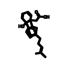 CC(C)=CCCN1CCC(C2(CC(=O)O)C=CC=CC2(O)C2CCCC2)C1